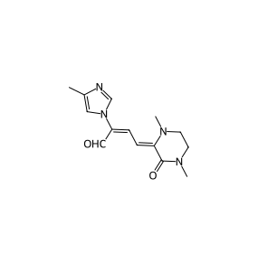 Cc1cn(/C(C=O)=C/C=C2/C(=O)N(C)CCN2C)cn1